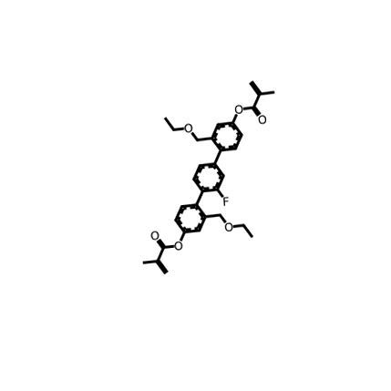 C=C(C)C(=O)Oc1ccc(-c2ccc(-c3ccc(OC(=O)C(=C)C)cc3COCC)c(F)c2)c(COCC)c1